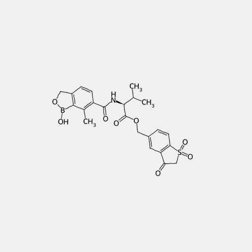 Cc1c(C(=O)N[C@H](C(=O)OCc2ccc3c(c2)C(=O)CS3(=O)=O)C(C)C)ccc2c1B(O)OC2